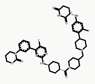 O=C1CC[C@H](Nc2ccc(C3CCN(CC4CCN(C(=O)[C@H]5CC[C@H](Nc6ncc(F)c(-c7cccc(N8CCCOC8=O)c7)n6)CC5)CC4)CC3)c(F)c2)C(=O)N1